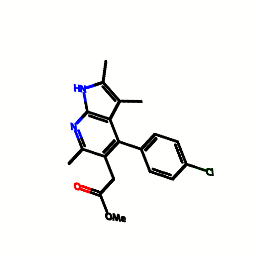 COC(=O)Cc1c(C)nc2[nH]c(C)c(C)c2c1-c1ccc(Cl)cc1